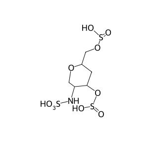 O=S(O)OCC1CC(OS(=O)O)C(NS(=O)(=O)O)CO1